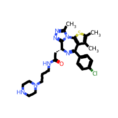 Cc1sc2c(c1C)C(c1ccc(Cl)cc1)=N[C@H](CC(=O)NCCCN1CCNCC1)c1nnc(C)n1-2